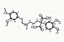 COc1ccc(CCN(C)CCCC(C(=O)O)(C(=O)O)c2ccc(OC)c(OC)c2)cc1OC